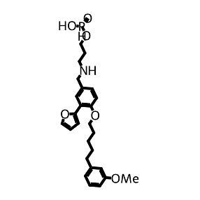 COc1cccc(CCCCCOc2ccc(CNCCCO[PH](=O)O)cc2-c2ccco2)c1